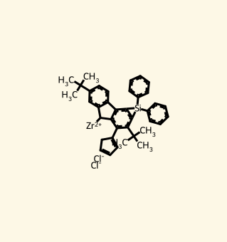 CC(C)(C)c1ccc2c(c1)[CH]([Zr+2])c1c(C3=CC=CC3)c(C(C)(C)C)c3c(c1-2)[Si]3(c1ccccc1)c1ccccc1.[Cl-].[Cl-]